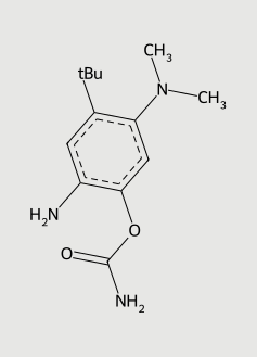 CN(C)c1cc(OC(N)=O)c(N)cc1C(C)(C)C